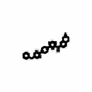 CN1CCc2ccc(Nc3ncnc(N4CCN(c5ncc(Cc6ccccc6)cn5)CC4)n3)cc2C1